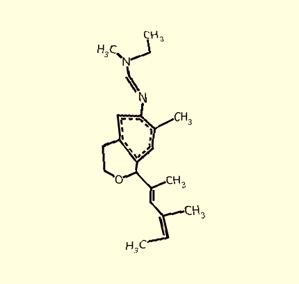 C/C=C(C)\C=C(/C)C1OCCc2cc(/N=C/N(C)CC)c(C)cc21